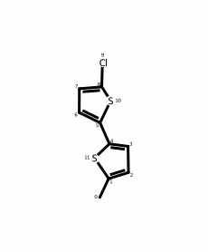 Cc1ccc(-c2ccc(Cl)s2)s1